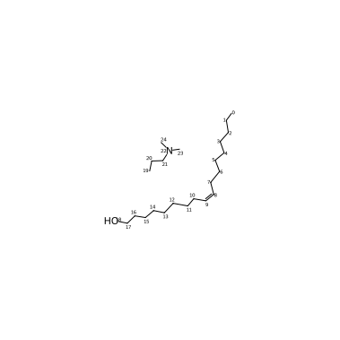 CCCCCCCC/C=C\CCCCCCCCO.CCCN(C)C